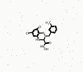 Cc1cccc(CN2Sc3c(Cl)cc(Cl)cc3NC2C(=O)NO)c1